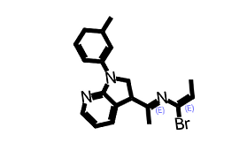 C/C=C(Br)\N=C(/C)C1CN(C2=CC(C)CC=C2)c2ncccc21